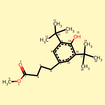 COC(=O)CCCc1cc(C(C)(C)C)c(O)c(C(C)(C)C)c1